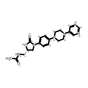 CC(=O)NC[C@H]1CN(c2ccc(N3CCN(c4cncnc4)CC3)cc2)C(=O)O1